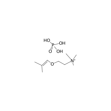 CC(C)=COCC[N+](C)(C)C.O=P(O)(O)O